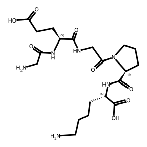 NCCCC[C@H](NC(=O)[C@@H]1CCCN1C(=O)CNC(=O)[C@H](CCC(=O)O)NC(=O)CN)C(=O)O